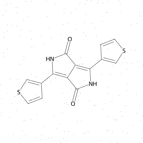 O=C1NC(c2ccsc2)=C2C(=O)NC(c3ccsc3)=C12